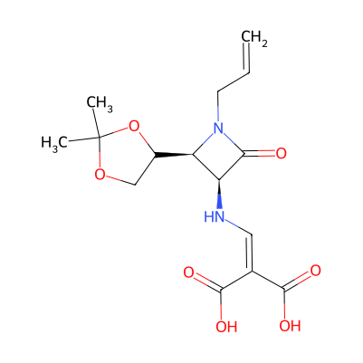 C=CCN1C(=O)[C@@H](NC=C(C(=O)O)C(=O)O)[C@H]1C1COC(C)(C)O1